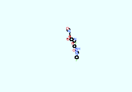 COc1cc2c(Oc3ccc(NC(=O)N4C=CN(c5ccc(F)cc5)C4)cc3F)ccnc2cc1OCCCN1CCOCC1